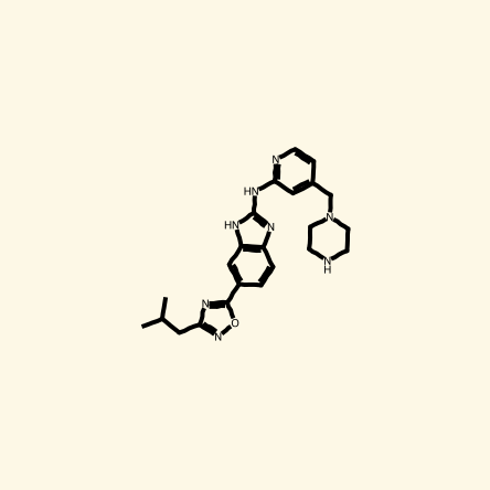 CC(C)Cc1noc(-c2ccc3nc(Nc4cc(CN5CCNCC5)ccn4)[nH]c3c2)n1